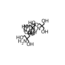 NC(CO)(CO)CO.NC(CO)(CO)CO.NC(CO)(CO)CO.NCC(=O)O